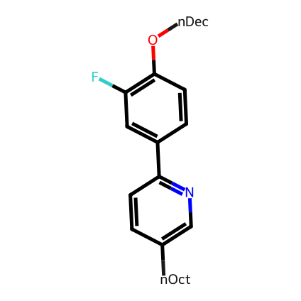 CCCCCCCCCCOc1ccc(-c2ccc(CCCCCCCC)cn2)cc1F